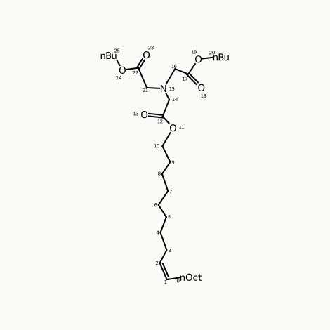 CCCCCCCC/C=C\CCCCCCCCOC(=O)CN(CC(=O)OCCCC)CC(=O)OCCCC